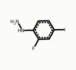 NNc1ccc(I)cc1F